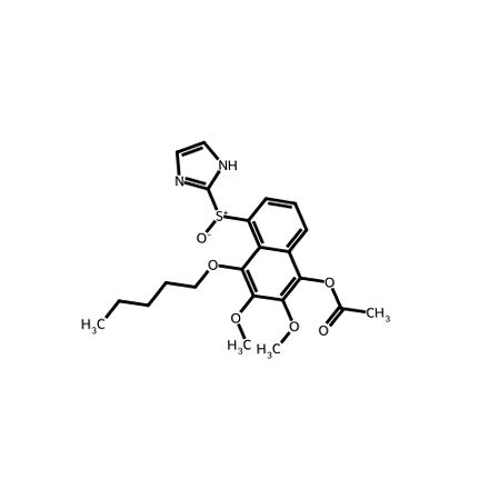 CCCCCOc1c(OC)c(OC)c(OC(C)=O)c2cccc([S+]([O-])c3ncc[nH]3)c12